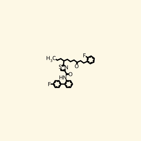 CCCC(CCCC(=O)CCc1ccccc1F)c1nc(C(=O)Nc2ccccc2-c2ccc(F)cc2)cs1